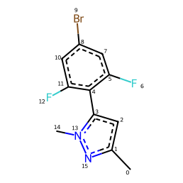 Cc1cc(-c2c(F)cc(Br)cc2F)n(C)n1